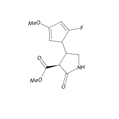 COC(=O)[C@@H]1C(=O)NCC1C1C=C(OC)C=C1F